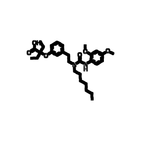 CCCCCCCN(CCc1cccc(OC(CC)(CC)C(=O)O)c1)C(=O)Nc1ccc(OC)cc1OC